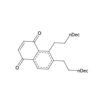 CCCCCCCCCCCCc1ccc2c(c1CCCCCCCCCCCC)C(=O)C=CC2=O